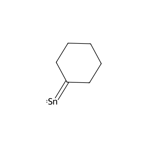 [Sn]=[C]1CCCCC1